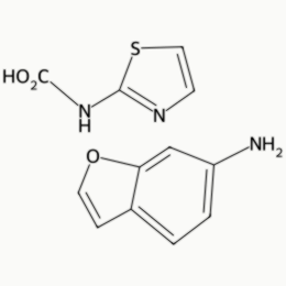 Nc1ccc2ccoc2c1.O=C(O)Nc1nccs1